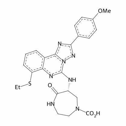 CCSc1cccc2c1nc(N[C@@H]1CN(C(=O)O)CCNC1=O)n1nc(-c3ccc(OC)cc3)nc21